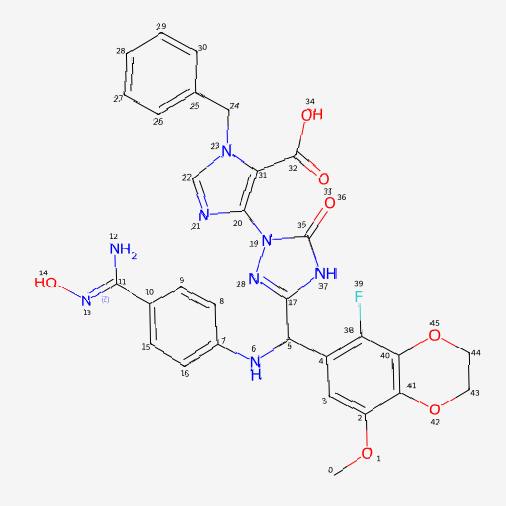 COc1cc(C(Nc2ccc(/C(N)=N/O)cc2)c2nn(-c3ncn(Cc4ccccc4)c3C(=O)O)c(=O)[nH]2)c(F)c2c1OCCO2